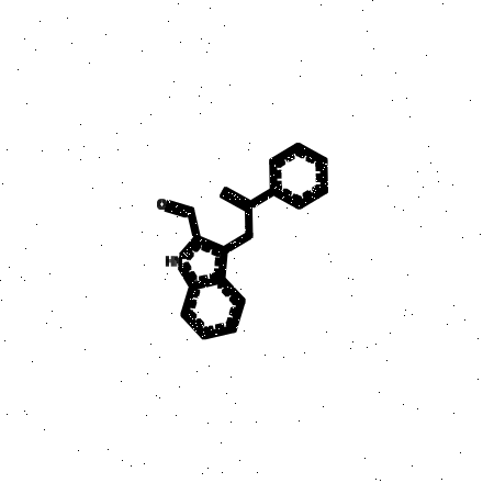 C=C(Cc1c(C=O)[nH]c2ccccc12)c1ccccc1